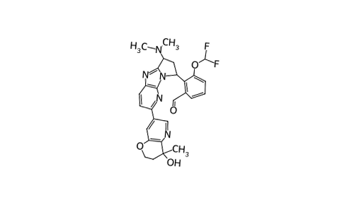 CN(C)C1CC(c2c(C=O)cccc2OC(F)F)n2c1nc1ccc(-c3cnc4c(c3)OCCC4(C)O)nc12